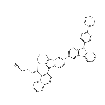 C#CCC/C=C(\C)c1c(-n2c3c(c4cc(-c5ccc6c(c5)c5ccccc5n6-c5ccc(-c6ccccc6)cc5)ccc42)C=CCC3)ccc2ccccc12